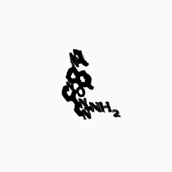 Cc1ccc2c(-n3nccc3C)cccc2c1Oc1ncccc1-c1ccnc(N)n1